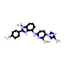 COc1nc(Nc2cccc3c2nc(-c2ccc(C(F)(F)F)cc2)n3C)ccc1-n1cnc(C)c1